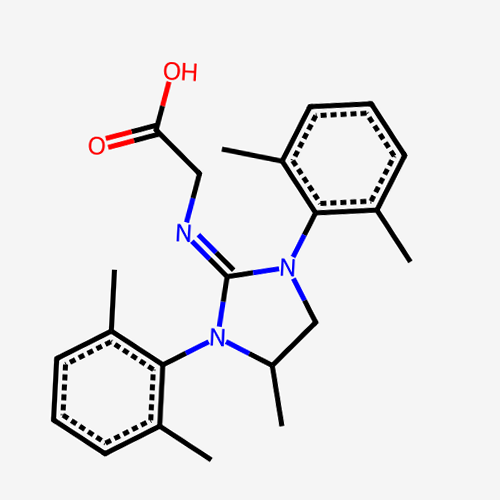 Cc1cccc(C)c1N1CC(C)N(c2c(C)cccc2C)C1=NCC(=O)O